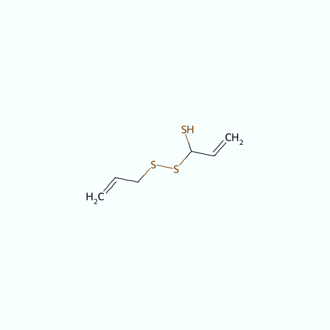 C=CCSSC(S)C=C